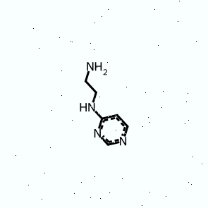 NCCNc1ccncn1